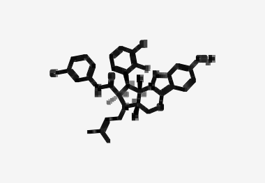 CC(C)=CCN1[C@H]2COc3c4ccc(C(=O)O)cc4nn3[C@H]2[C@H](c2cccc(Cl)c2F)[C@]1(C)C(=O)Nc1cccc(Cl)c1